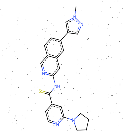 Cn1cc(-c2ccc3cnc(NC(=S)c4ccnc(N5CCCC5)c4)cc3c2)cn1